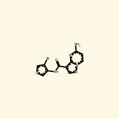 Nc1ccn2ncc(C(=O)Nc3cscc3Br)c2n1